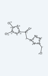 O=C(Cn1nnc(CCl)n1)c1cc(Cl)c(Cl)s1